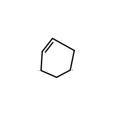 [CH]1C=CC[CH]C1